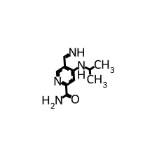 CC(C)Nc1cc(C(N)=O)ncc1C=N